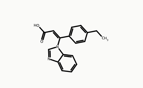 CCc1ccc(/C(=C/C(=O)O)n2cnc3ccccc32)cc1